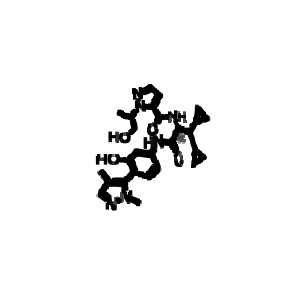 Cc1cnn(C)c1-c1ccc(NC(=O)[C@@H](NC(=O)c2ccnn2C(C)CO)C(C2CC2)C2CC2)cc1O